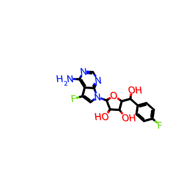 Nc1ncnc2c1c(F)cn2C1OC(C(O)c2ccc(F)cc2)C(O)C1O